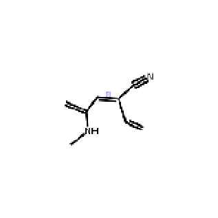 C=C/C(C#N)=C\C(=C)NC